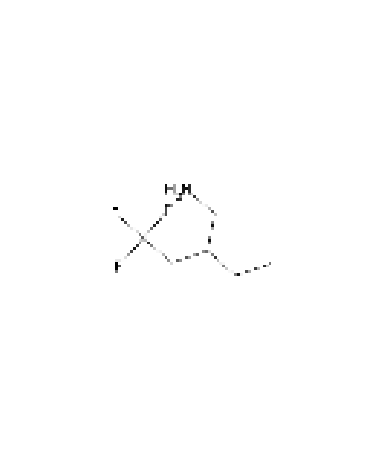 CCC(CN)CC(F)(F)F